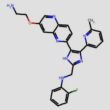 Cc1cccc(-c2nc(CNc3ccccc3F)[nH]c2-c2ccc3ncc(OCCN)cc3n2)n1